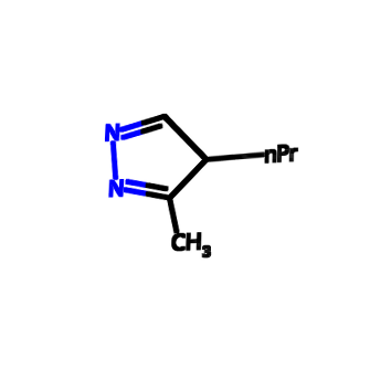 CCCC1C=NN=C1C